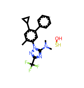 Cc1cc(C2CC2)c(-c2cc[c]cc2)cc1-n1nc(C(F)(F)F)nc1N(C)C.OS